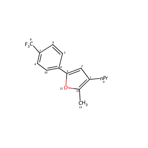 CCCc1cc(-c2ccc(C(F)(F)F)cc2)oc1C